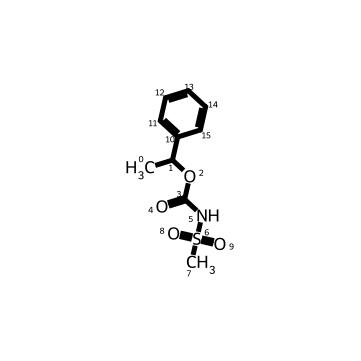 CC(OC(=O)NS(C)(=O)=O)c1ccccc1